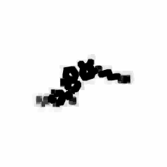 Cc1c(OCCCCO)ccc([C@H]2CCC[C@H]3CN(C(=O)c4cnc(C(F)(F)F)nc4)CCN32)c1C